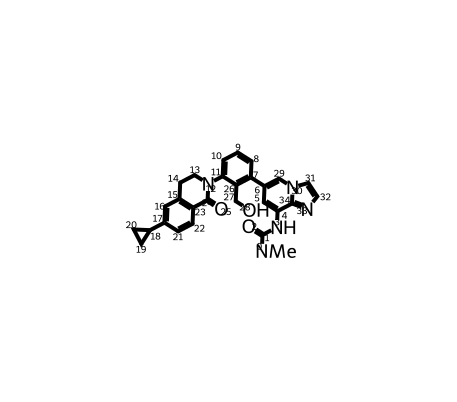 CNC(=O)Nc1cc(-c2cccc(N3CCc4cc(C5CC5)ccc4C3=O)c2CO)cn2ccnc12